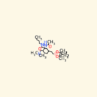 CCCCNC(=O)C1(NC(C)=O)CC(CCB2OC(C)(C)C(C)(C)O2)CCC1CN(C)C